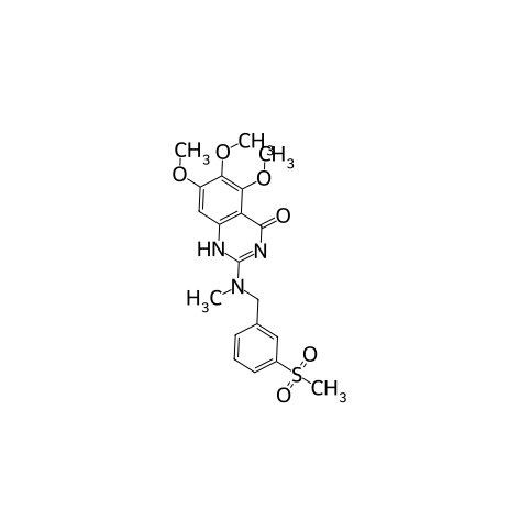 COc1cc2[nH]c(N(C)Cc3cccc(S(C)(=O)=O)c3)nc(=O)c2c(OC)c1OC